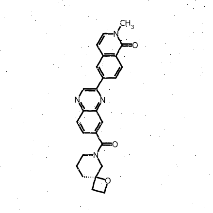 Cn1ccc2cc(-c3cnc4ccc(C(=O)N5CCC[C@]6(CCO6)C5)cc4n3)ccc2c1=O